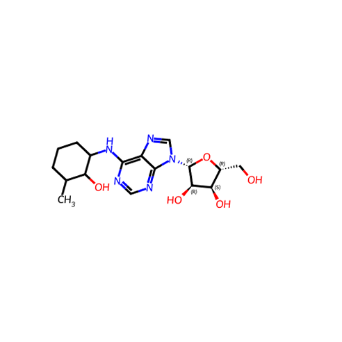 CC1CCCC(Nc2ncnc3c2ncn3[C@@H]2O[C@H](CO)[C@@H](O)[C@H]2O)C1O